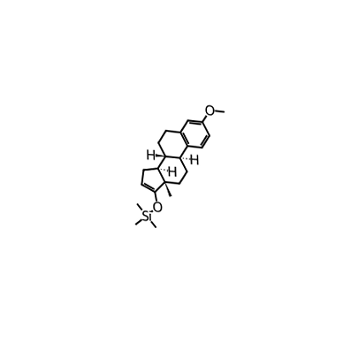 COc1ccc2c(c1)CC[C@@H]1[C@@H]2CC[C@]2(C)C(O[Si](C)(C)C)=CC[C@@H]12